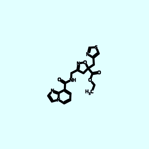 CCOC(=O)C1(Cc2cscn2)CC(CNC(=O)c2cccn3ccnc23)=NO1